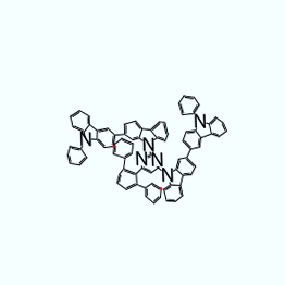 c1ccc(-c2cccc(-c3ccccc3)c2-c2cc(-n3c4ccccc4c4ccc(-c5ccc6c(c5)c5ccccc5n6-c5ccccc5)cc43)nc(-n3c4ccccc4c4ccc(-c5ccc6c(c5)c5ccccc5n6-c5ccccc5)cc43)n2)cc1